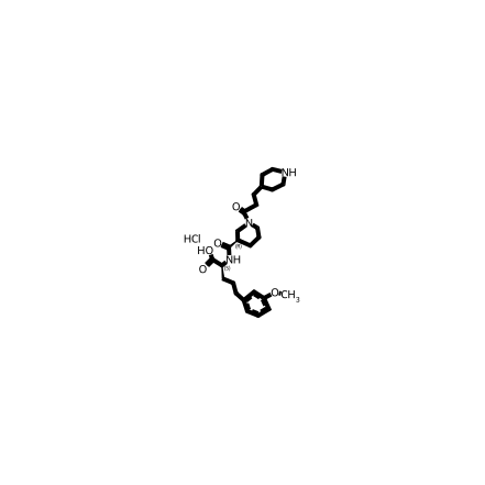 COc1cccc(CCC[C@H](NC(=O)[C@@H]2CCCN(C(=O)CCC3CCNCC3)C2)C(=O)O)c1.Cl